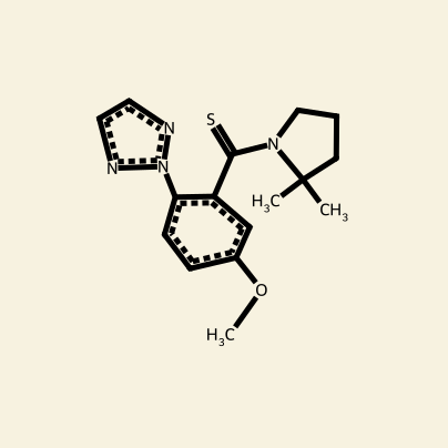 COc1ccc(-n2nccn2)c(C(=S)N2CCCC2(C)C)c1